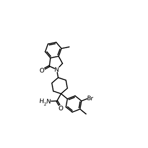 Cc1ccc(C2(C(N)=O)CCC(N3Cc4c(C)cccc4C3=O)CC2)cc1Br